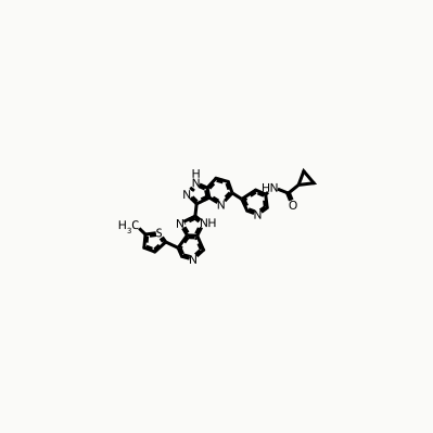 Cc1ccc(-c2cncc3[nH]c(-c4n[nH]c5ccc(-c6cncc(NC(=O)C7CC7)c6)nc45)nc23)s1